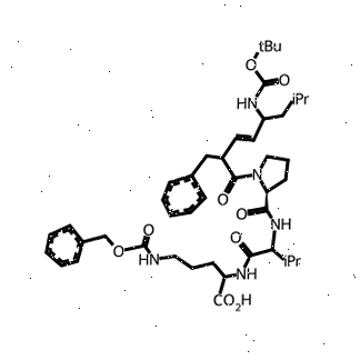 CC(C)CC(/C=C/C(Cc1ccccc1)C(=O)N1CCC[C@H]1C(=O)NC(C(=O)NC(CCCNC(=O)OCc1ccccc1)C(=O)O)C(C)C)NC(=O)OC(C)(C)C